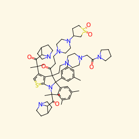 Cc1cc(C)cc(C2(c3cc(C)cc(C)c3)N(C(C)(C)C(=O)C3C4CCN3CC4)c3scc(C(C)(C)C(=O)C4C5CCN4CC5)c3C2(CCN2CCN(CC(=O)N3CCCC3)CC2)C(=O)CCN2CCN(C3CCS(=O)(=O)C3)CC2)c1